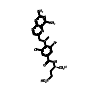 CN(Cc1cnc2nc(N)nc(N)c2n1)c1c(Cl)cc(C(=O)N[C@@H](CCC(=O)O)C(=O)O)cc1Br